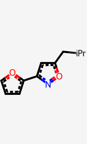 CC(C)Cc1cc(-c2ccco2)no1